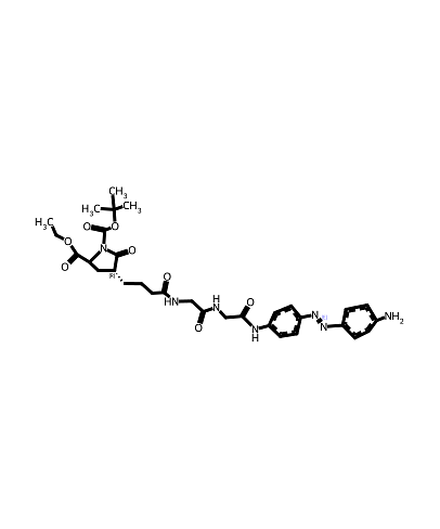 CCOC(=O)C1C[C@@H](CCCC(=O)NCC(=O)NCC(=O)Nc2ccc(/N=N/c3ccc(N)cc3)cc2)C(=O)N1C(=O)OC(C)(C)C